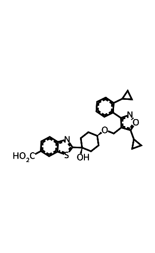 O=C(O)c1ccc2nc([C@]3(O)CC[C@@H](OCc4c(-c5ccccc5C5CC5)noc4C4CC4)CC3)sc2c1